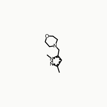 Cc1cc(CN2CCOCC2)n(C)n1